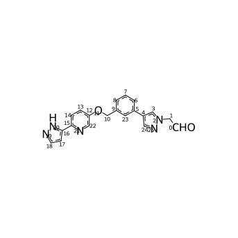 O=CCn1cc(-c2cccc(COc3ccc(-c4ccn[nH]4)nc3)c2)cn1